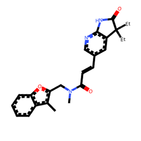 CCC1(CC)C(=O)Nc2ncc(C=CC(=O)N(C)Cc3oc4ccccc4c3C)cc21